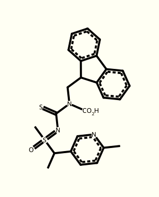 Cc1ccc(C(C)S(C)(=O)=NC(=S)N(CC2c3ccccc3-c3ccccc32)C(=O)O)cn1